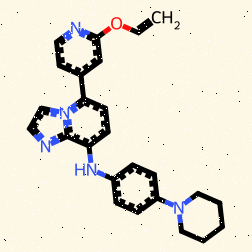 C=COc1cc(-c2ccc(Nc3ccc(N4CCCCC4)cc3)c3nccn23)ccn1